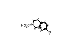 O=C(O)N1CCc2ccc(O)nc2C1